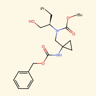 CC(C)C[C@H](CO)N(CC1(NC(=O)OCc2ccccc2)CC1)C(=O)OC(C)(C)C